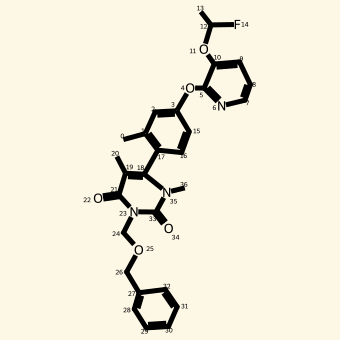 Cc1cc(Oc2ncccc2OC(C)F)ccc1-c1c(C)c(=O)n(COCc2ccccc2)c(=O)n1C